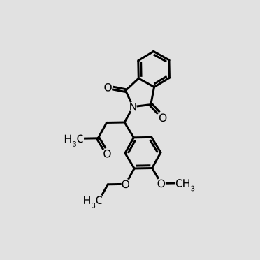 CCOc1cc(C(CC(C)=O)N2C(=O)c3ccccc3C2=O)ccc1OC